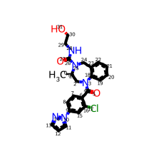 C[C@@H]1CN(C(=O)c2ccc(-n3cccn3)cc2Cl)c2ccccc2CN1C(=O)NCCO